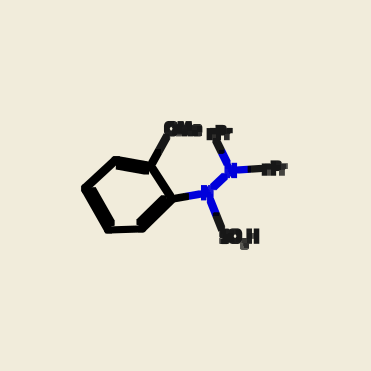 CCCN(CCC)N(c1ccccc1OC)S(=O)(=O)O